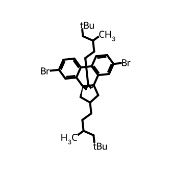 CC(CCC1C[C@]23CC(CCC(C)CC(C)(C)C)C[C@@]2(C1)c1cc(Br)ccc1-c1ccc(Br)cc13)CC(C)(C)C